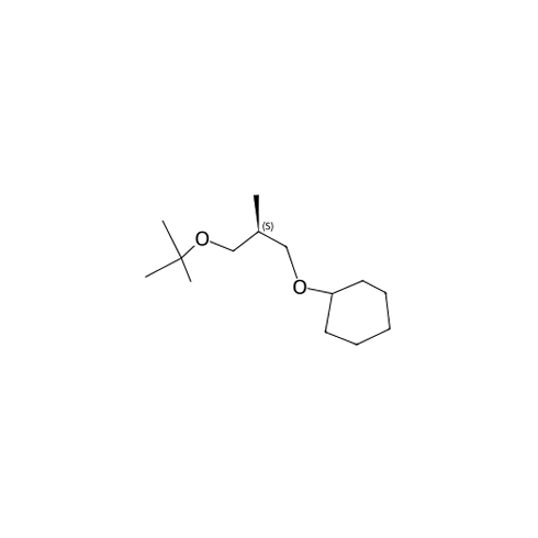 C[C@@H](COC1CCCCC1)COC(C)(C)C